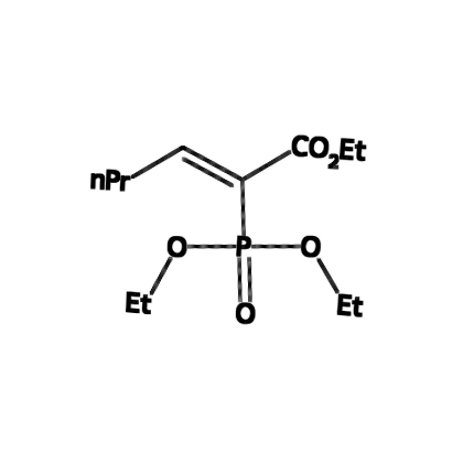 CCCC=C(C(=O)OCC)P(=O)(OCC)OCC